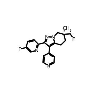 C[C@]1(CF)CCc2c(-c3ccncc3)c(-c3ccc(F)cn3)nn2C1